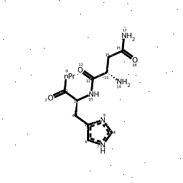 CCCC(=O)[C@H](Cc1c[nH]cn1)NC(=O)[C@@H](N)CC(N)=O